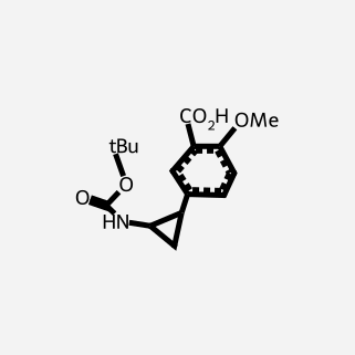 COc1ccc(C2CC2NC(=O)OC(C)(C)C)cc1C(=O)O